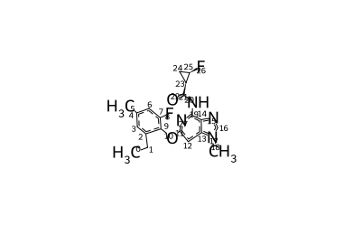 CCc1cc(C)cc(F)c1Oc1cc2c(ncn2C)c(NC(=O)[C@H]2C[C@H]2F)n1